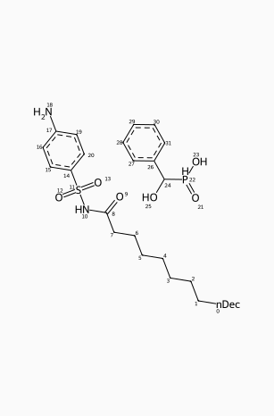 CCCCCCCCCCCCCCCCCC(=O)NS(=O)(=O)c1ccc(N)cc1.O=[PH](O)C(O)c1ccccc1